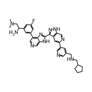 CN(C)CC(N)c1cc(F)cc(-c2cncc3[nH]c(-c4n[nH]c5cnc(-c6cncc(CNCC7CCCC7)c6)cc45)nc23)c1